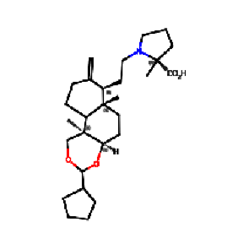 C=C1CCC2[C@]3(C)COC(C4CCCC4)O[C@@H]3CC[C@@]2(C)[C@@H]1CCN1CCC[C@@]1(C)C(=O)O